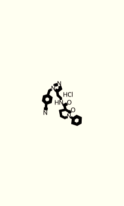 Cl.N#Cc1ccc(Cn2cncc2CCNC(=O)C2CCCN(c3ccccc3)C2=O)cc1